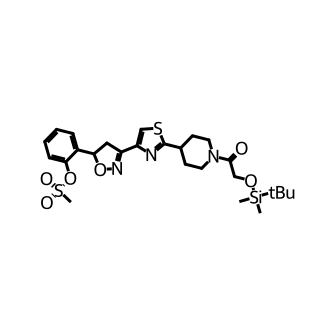 CC(C)(C)[Si](C)(C)OCC(=O)N1CCC(c2nc(C3=NOC(c4ccccc4OS(C)(=O)=O)C3)cs2)CC1